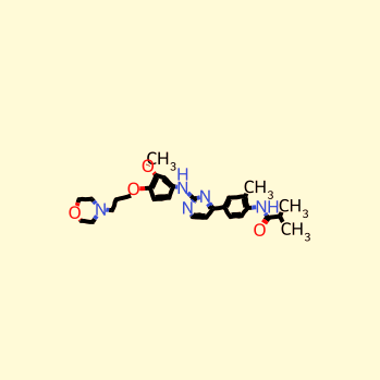 COc1cc(Nc2nccc(-c3ccc(NC(=O)C(C)C)c(C)c3)n2)ccc1OCCCN1CCOCC1